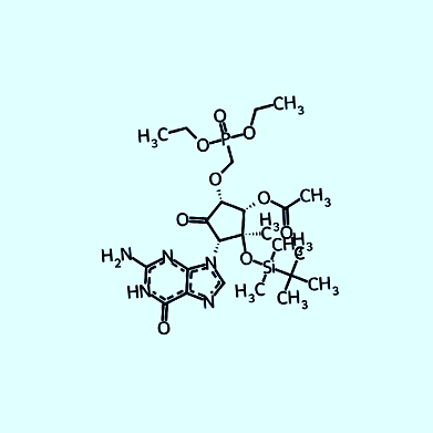 CCOP(=O)(CO[C@H]1C(=O)[C@@H](n2cnc3c(=O)[nH]c(N)nc32)[C@](C)(O[Si](C)(C)C(C)(C)C)[C@H]1OC(C)=O)OCC